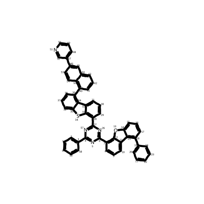 c1ccc(-c2nc(-c3cccc4c3oc3cccc(-c5ccccc5)c34)nc(-c3cccc4c3sc3cccc(-c5cccc6cc(-c7cccnc7)ccc56)c34)n2)cc1